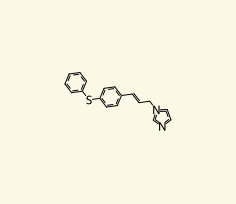 C(=Cc1ccc(Sc2ccccc2)cc1)Cn1ccnc1